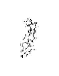 Cc1cnc2c(C(F)(F)F)cccc2c1-c1cccc(Oc2ccnc3c2CCCS3)c1